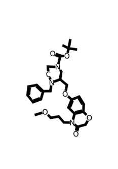 COCCCN1C(=O)COc2ccc(OCC3CN(C(=O)OC(C)(C)C)CCN3Cc3ccccc3)cc21